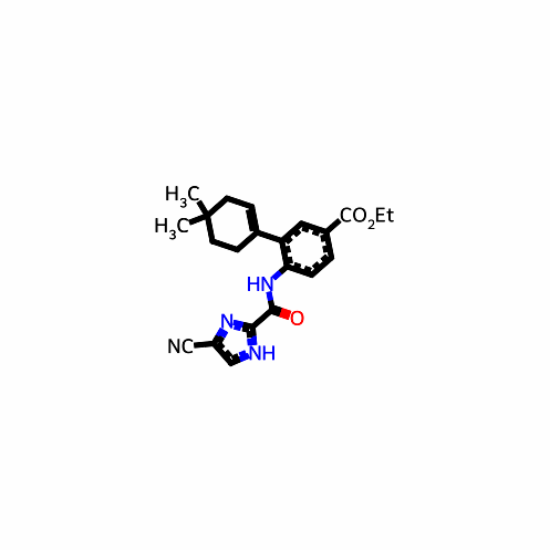 CCOC(=O)c1ccc(NC(=O)c2nc(C#N)c[nH]2)c(C2=CCC(C)(C)CC2)c1